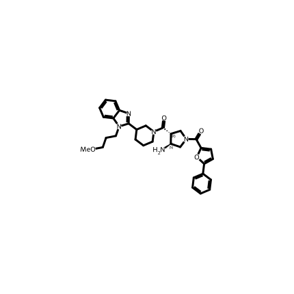 COCCCn1c(C2CCCN(C(=O)[C@@H]3CN(C(=O)c4ccc(-c5ccccc5)o4)C[C@H]3N)C2)nc2ccccc21